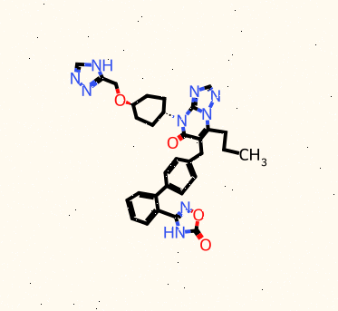 CCCc1c(Cc2ccc(-c3ccccc3-c3noc(=O)[nH]3)cc2)c(=O)n([C@H]2CC[C@H](OCc3nnc[nH]3)CC2)c2ncnn12